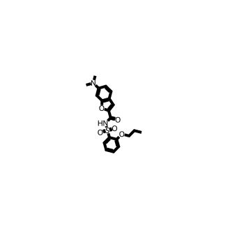 CCCOc1ccccc1S(=O)(=O)NC(=O)c1cc2ccc(N(C)C)cc2o1